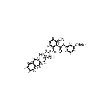 COc1cccc(CC(=O)c2c(C#N)cccc2C[C@H]2CNC(Cc3cc4ccccc4cn3)N2)c1